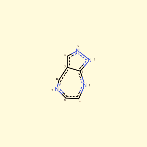 c1cnc2nncc-2cn1